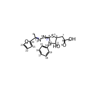 C/C(=N\N=C1\SC(CC(=O)O)C(O)N1c1ccccc1)c1ccco1